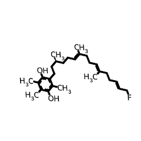 C/C(=C\CC/C(C)=C/CC[C@H](C)CCc1c(C)c(O)c(C)c(C)c1O)CC/C=C/CF